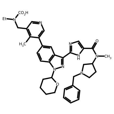 CCN(Cc1cncc(-c2ccc3c(c2)c(-c2ncc(C(=O)N(C)C4CCN(Cc5ccccc5)C4)[nH]2)nn3C2CCCCO2)c1C)C(=O)O